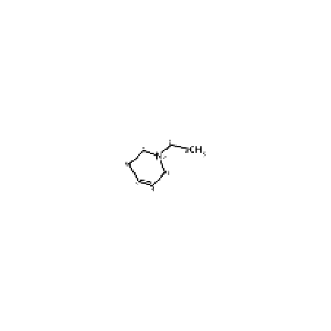 CCN1CC=[C]CC1